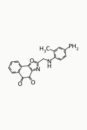 Cc1cc(P)ccc1NCc1nc2c(o1)-c1ccccc1C(=O)C2=O